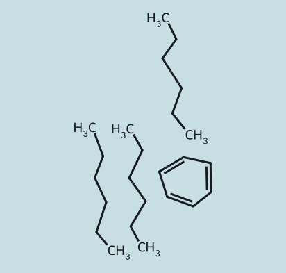 CCCCCC.CCCCCC.CCCCCC.c1ccccc1